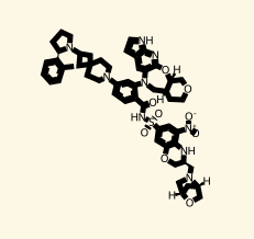 Cc1ccccc1[C@@H]1CCCN1C1CC2(CCN(c3ccc(C(=O)NS(=O)(=O)c4cc5c(c([N+](=O)[O-])c4)N[C@@H](CN4C[C@@H]6C[C@H]4CO6)CO5)c(N4C[C@H]5CCOC[C@H]5Oc5nc6[nH]ccc6cc54)c3)CC2)C1